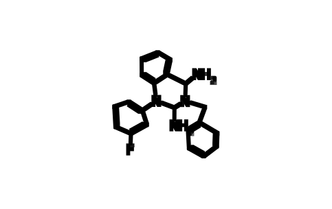 NC1c2ccccc2N(c2cccc(F)c2)C(N)N1Cc1ccccc1